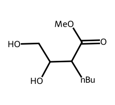 CCCCC(C(=O)OC)C(O)CO